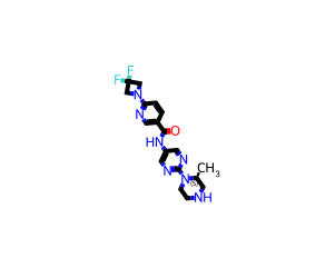 C[C@H]1CNCCN1c1ncc(NC(=O)c2ccc(N3CC(F)(F)C3)nc2)cn1